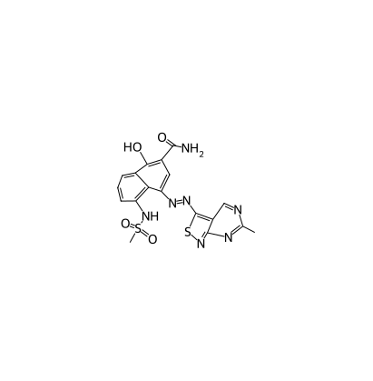 Cc1ncc2c(/N=N/c3cc(C(N)=O)c(O)c4cccc(NS(C)(=O)=O)c34)snc2n1